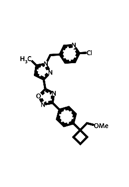 COCC1(c2ccc(-c3noc(-c4cc(C)n(Cc5ccc(Cl)nc5)n4)n3)cc2)CCC1